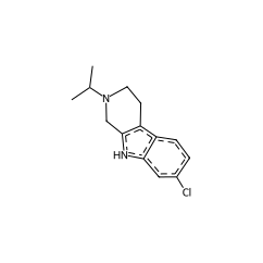 CC(C)N1CCc2c([nH]c3cc(Cl)ccc23)C1